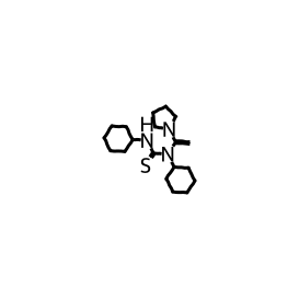 C=C(N1CCCC1)N(C(=S)NC1CCCCC1)C1CCCCC1